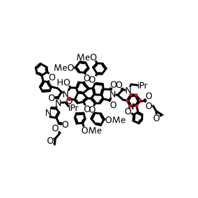 COc1cccc(Oc2cc3c4c(cc(Oc5cccc(OC)c5)c5c6c(Oc7cccc(OC)c7)cc7c8c(cc(Oc9cccc(OC)c9)c(c2c45)c86)C(=O)N(C(Cc2cccc4c2oc2ccccc24)C(=O)N(CC(C)C)c2cncc(C(=O)OCC4CO4)c2)C7O)C(=O)N(C(Cc2cccc4c2oc2ccccc24)C(=O)N(CC(C)C)c2cncc(C(=O)OCC4CO4)c2)C3=O)c1